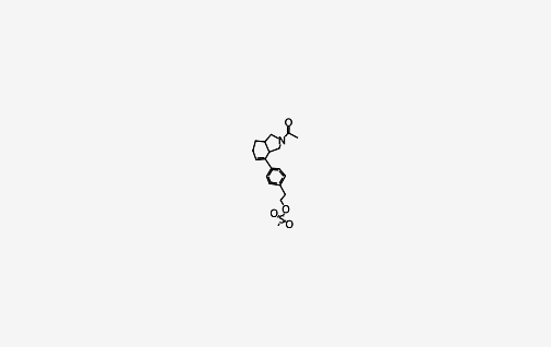 CC(=O)N1CC2CCC=C(c3ccc(CCOS(C)(=O)=O)cc3)C2C1